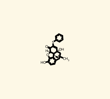 CN1CC[C@]23c4c5ccc(O)c4O[C@H]2C(=O)C(Sc2ccccc2)=C[C@@]3(O)C1C5